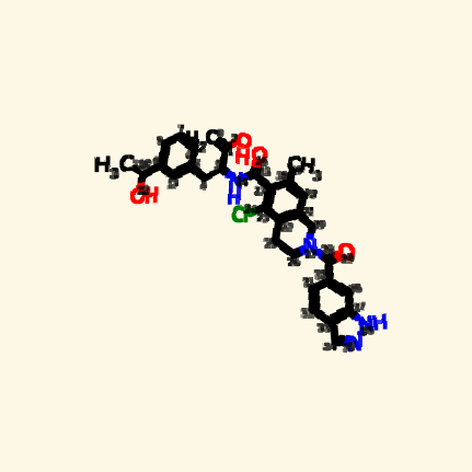 C=C(O)[C@H](Cc1cccc([C@H](C)O)c1)NC(=O)c1c(C)cc2c(c1Cl)CCN(C(=O)c1ccc3cn[nH]c3c1)C2